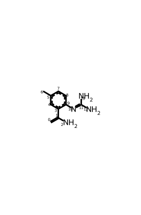 C=C(N)c1cc(C)ccc1N=C(N)N